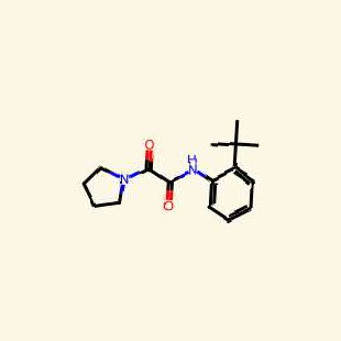 CC(C)(C)c1ccccc1NC(=O)C(=O)N1CCCC1